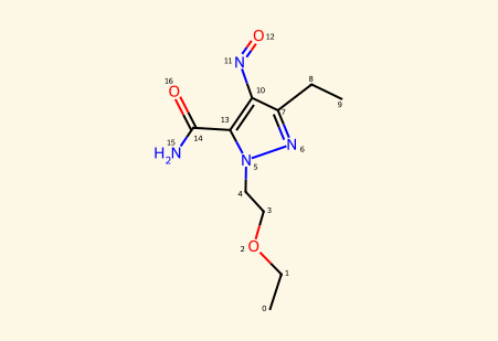 CCOCCn1nc(CC)c(N=O)c1C(N)=O